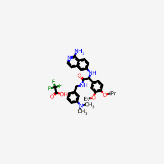 CCOc1cc(C(Nc2ccc3c(N)nccc3c2)C(=O)NCc2cccc(N(C)C)c2)ccc1OC(C)C.O=C(O)C(F)(F)F